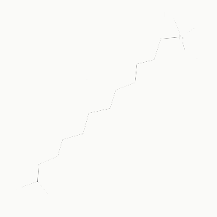 CC(C)CCCCCCCCCCC[N+](C)(C)C.[Cl-]